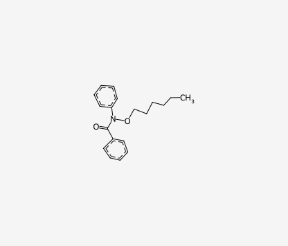 CCCCCCON(C(=O)c1ccccc1)c1ccccc1